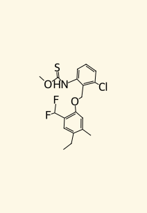 CCc1cc(C(F)F)c(OCc2c(Cl)cccc2NC(=S)OC)cc1C